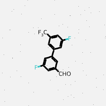 O=Cc1cc(F)cc(-c2cc(F)cc(C(F)(F)F)c2)c1